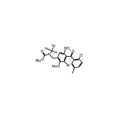 [2H]C([2H])([2H])N(Cc1cc([N+](=O)[O-])c(C(=O)c2cc(F)ccc2Cl)c(Br)c1OC)C(=O)OC(C)(C)C